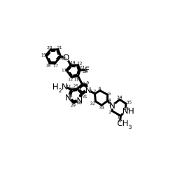 CC1CN(C2CCC(n3cc(-c4ccc(Oc5ccccc5)cc4F)c4c(N)ncnc43)CC2)CCN1